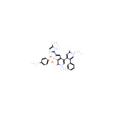 Cc1ccc(S(=O)(=O)n2c(-c3ncc(C)[nH]3)cc3c(-c4cc(=O)n(C)cc4-c4ccccc4)cn(C)c(=O)c32)cc1